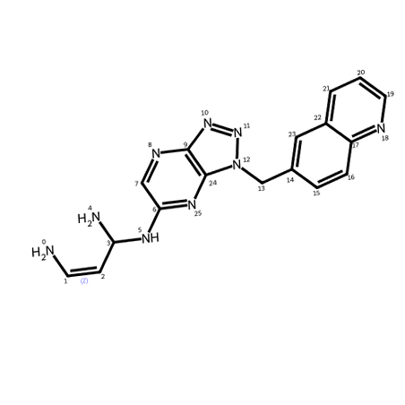 N/C=C\C(N)Nc1cnc2nnn(Cc3ccc4ncccc4c3)c2n1